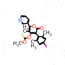 COC(=S)Oc1c(C)c(-c2cccnc2)oc(=O)c1-c1c(C)cc(I)cc1C